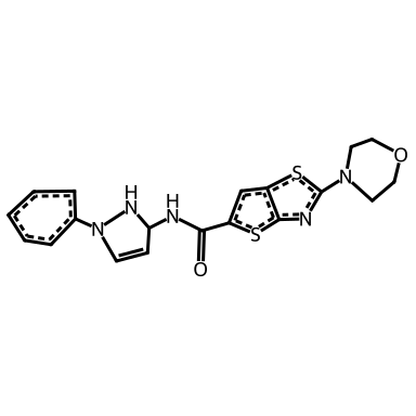 O=C(NC1C=CN(c2ccccc2)N1)c1cc2sc(N3CCOCC3)nc2s1